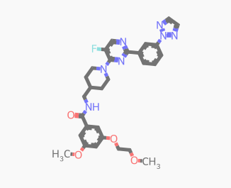 COCCOc1cc(OC)cc(C(=O)NCC2CCN(c3nc(-c4cccc(-n5nccn5)c4)ncc3F)CC2)c1